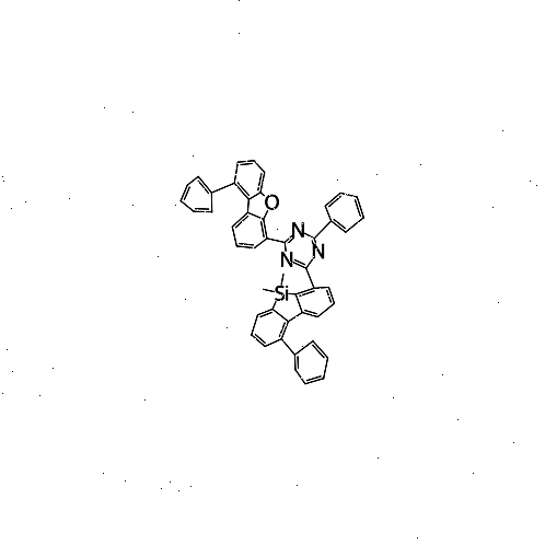 C[Si]1(C)c2cccc(-c3ccccc3)c2-c2cccc(-c3nc(-c4ccccc4)nc(-c4cccc5c4oc4cccc(-c6ccccc6)c45)n3)c21